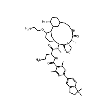 Cc1nc(-c2ccc3c(c2)CCC3(C)C)nc(C)c1C(=O)N[C@@H](CCN)C(=O)N(C)[C@@H]1C(=O)N(CC#N)[C@@H](C)C(=O)NCCC2CCC(O)C(C2)C2CC1CCC2OCCN